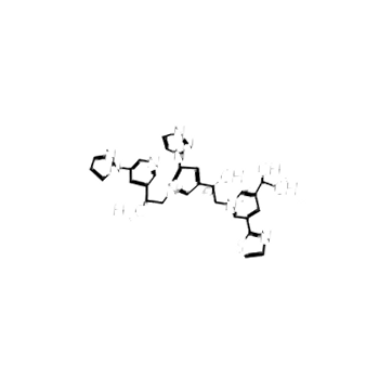 CC(C)c1cc(-c2nccs2)c[n+](C[C@H](C)c2cc(-n3ccnn3)c[n+](C[C@H](C)c3cncc(-n4cccn4)c3)c2)c1